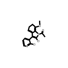 COC1=c2c(c(-c3cccnc3Cl)c(Cl)n2C(C)=O)=CCC1